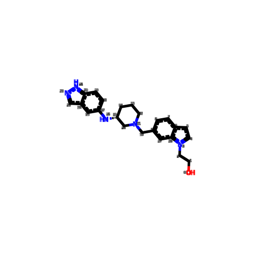 OCCn1ccc2ccc(CN3CCC[C@@H](Nc4ccc5[nH]ncc5c4)C3)cc21